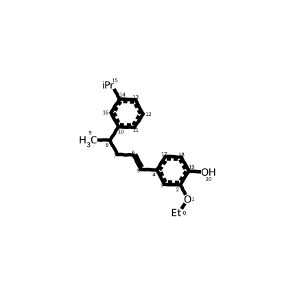 CCOc1cc(C=CCC(C)c2cccc(C(C)C)c2)ccc1O